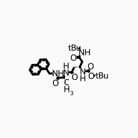 C[C@H](NC(=O)C[C@H](CC(=O)NC(C)(C)C)NC(=O)OC(C)(C)C)C(=O)NCc1cccc2ccccc12